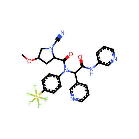 COC1CC(C(=O)N(c2ccc(S(F)(F)(F)(F)F)cc2)C(C(=O)Nc2cccnc2)c2cccnc2)N(C#N)C1